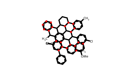 COc1cccc(C(Cc2ccc(Cl)cc2)[C](c2c(C3CCCCC3)c(C(C3CCCCC3)C3CCCCC3)c(C(C)c3ccccc3)c(OC)c2C(Cc2ccccc2)c2ccc(C)cc2)C(Cc2ccc(C)cc2)c2ccc(Cl)cc2)c1